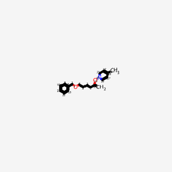 C=C(CCCCOCc1ccccc1)ON1C=CC(C)=CC1